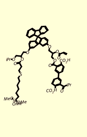 C=CC(=O)OC(COC(=O)c1cc(-c2ccc(C(=O)O)c(C(=O)C(C)C)c2)ccc1C(=O)O)COc1ccc(C2(c3ccc(OCC(COC(C)C)OC(=O)CCSCCCCCC[Si](OC)(OC)OC)cc3)c3ccccc3-c3ccccc32)cc1